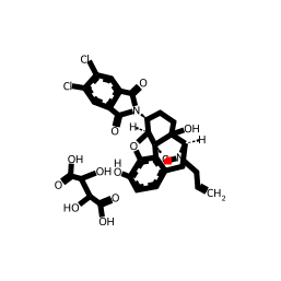 C=CCN1CC[C@]23c4c5ccc(O)c4O[C@H]2[C@H](N2C(=O)c4cc(Cl)c(Cl)cc4C2=O)CCC3(O)[C@H]1C5.O=C(O)C(O)C(O)C(=O)O